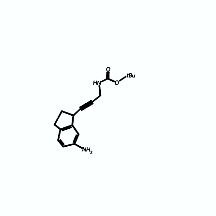 CC(C)(C)OC(=O)NCC#CC1CCc2ccc(N)cc21